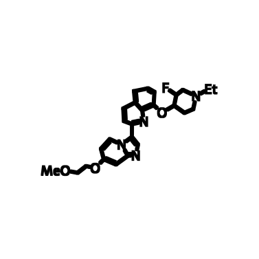 CCN1CCC(Oc2cccc3ccc(-c4cnc5cc(OCCOC)ccn45)nc23)C(F)C1